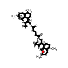 C[C@@H]1CC[C@H]2C(COC(=O)CCCC(=O)OCC3=C(C(F)(F)F)O[C@@H]4O[C@]5(C)CCC6[C@H](C)CC[C@@H]3[C@]64OO5)=C(C(F)(F)F)O[C@@H]3O[C@]4(C)CCC1[C@]32OO4